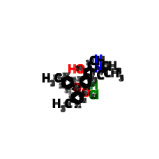 CCC(CNC(C)(C)C)C(O)c1ccc(Oc2ccc(C)cc2)c(Oc2ccc(C)cc2)c1.Cl